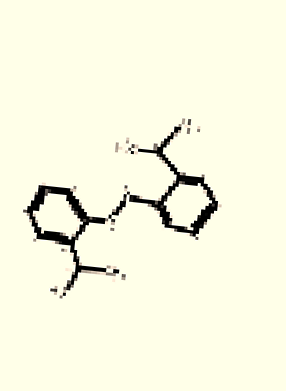 CC(C)c1ccccc1OOc1ccccc1C(C)C